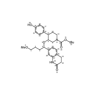 COCCCC(OC1CN(C(=O)OC(C)(C)C)CCC1c1ccc(O)cc1)c1ccc2c(c1)NC(=O)CC2